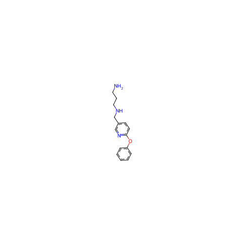 NCCCNCc1ccc(Oc2ccccc2)nc1